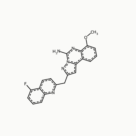 COc1cccc2c1nc(N)n1nc(Cc3ccc4c(F)cccc4n3)cc21